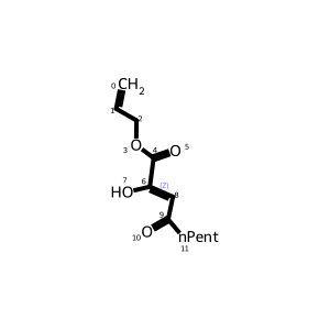 C=CCOC(=O)/C(O)=C/C(=O)CCCCC